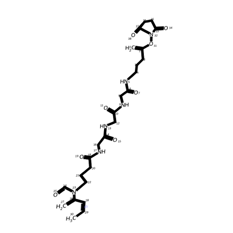 C=C(CCCNC(=O)CNC(=O)CNC(=O)CNC(=O)CCCN(C=O)C(=C)/C=C\C)ON1C(=O)CCC1=O